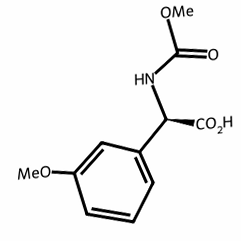 COC(=O)N[C@@H](C(=O)O)c1cccc(OC)c1